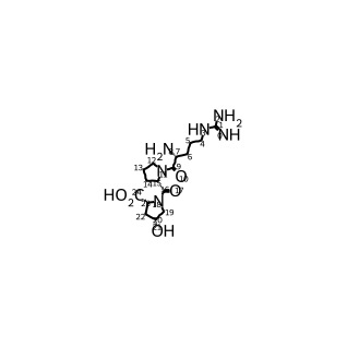 N=C(N)NCCC[C@@H](N)C(=O)N1CCC[C@H]1C(=O)N1C[C@H](O)C[C@H]1C(=O)O